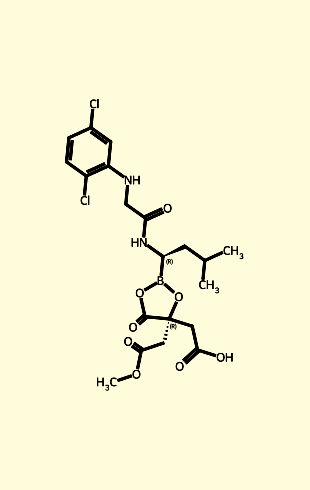 COC(=O)C[C@@]1(CC(=O)O)OB([C@H](CC(C)C)NC(=O)CNc2cc(Cl)ccc2Cl)OC1=O